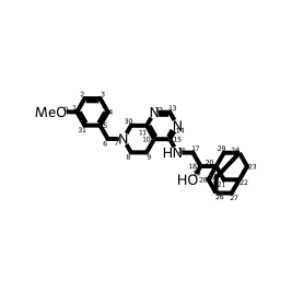 COc1cccc(CN2CCc3c(ncnc3NCC(O)C34CC5CC(CC(C5)C3)C4)C2)c1